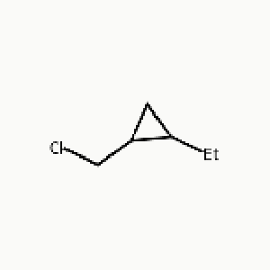 CCC1CC1CCl